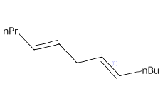 CCCC=CC/[C]=C/CCCC